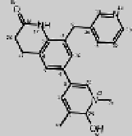 CC1=CC(c2cc3c(c(Cc4cccnc4)c2)NC(=O)CC3)=CN(C)C1O